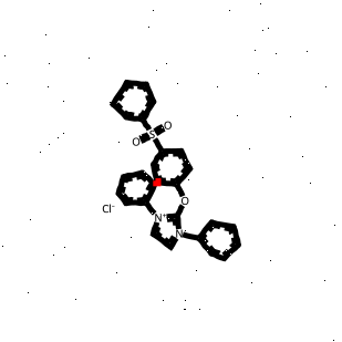 O=S(=O)(c1ccccc1)c1ccc(Oc2n(-c3ccccc3)cc[n+]2-c2ccccc2)cc1.[Cl-]